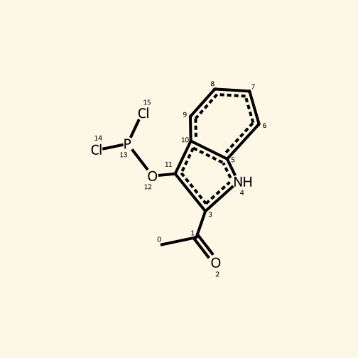 CC(=O)c1[nH]c2ccccc2c1OP(Cl)Cl